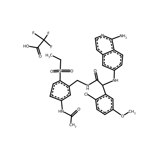 CCS(=O)(=O)c1ccc(NC(C)=O)cc1CNC(=O)C(Nc1ccc2c(N)nccc2c1)c1cc(OC)ccc1Cl.O=C(O)C(F)(F)F